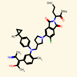 CNC(=O)C(CCC=O)N1C(=O)c2cc(F)c(N3CCC(CN(c4ccc(C5(C#N)CC5)cc4)c4cc(/C(C(C)=N)=C(\C)O)ccc4C)C3)cc2C1=O